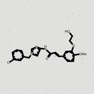 COc1ccc(/C=C/C(=O)Nc2cn(Cc3cccc(Cl)c3)cn2)cc1OCCO